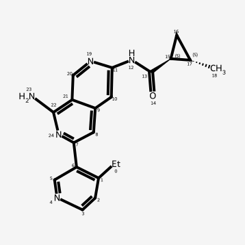 CCc1ccncc1-c1cc2cc(NC(=O)[C@H]3C[C@@H]3C)ncc2c(N)n1